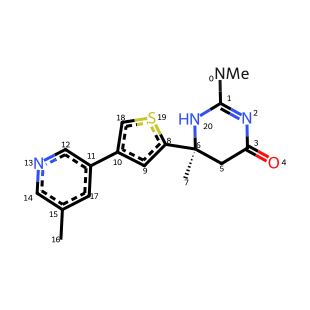 CNC1=NC(=O)C[C@@](C)(c2cc(-c3cncc(C)c3)cs2)N1